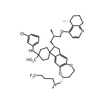 C[C@@H](COc1ccnc2c1[C@H](C)CCC2)C[C@H]1Cc2cc3c(cc2C12CCC(Nc1cccc(Cl)c1)(C(=O)O)CC2)O[C@@H](CN(C)CCCC(F)(F)F)CCO3